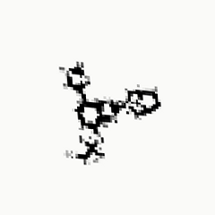 O=C(O)N1C2CCC1CN(c1nc3c(OC(F)(F)CO)ccc(-c4cscn4)c3o1)C2